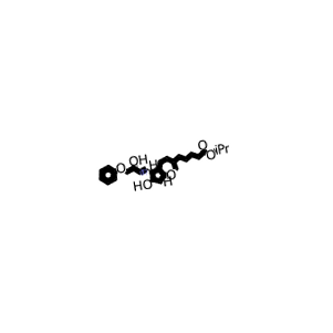 CC(C)OC(=O)CCCCC1CC[C@@H]2[C@@H](/C=C/[C@@H](O)COc3ccccc3)[C@H](O)C[C@@H]2OC1